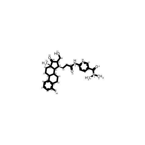 CN(C)C(=O)c1ccc(NC(=O)CC[C@@H]2C(CO)C(=O)[C@@]3(C)CCC4c5cccc(F)c5CCC4C23)nc1